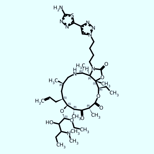 C=CC[C@H]1C[C@@H](C)CN[C@H](C)[C@H]2N(CCCCn3cc(-c4nnc(N)s4)nn3)C(=O)O[C@]2(C)[C@@H](CC)OC(=O)[C@H](C)C(=O)[C@H](C)[C@H]1O[C@H](OCC)C(O)C(CC)N(C)C